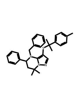 Cc1ccc(C(C)(C)Sc2cnn3c2N(Cc2ccccc2)C(c2ccccc2)CC3(C)C)cc1